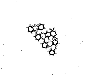 CC1(C)CCC(C)(C)c2c1cc1c3c2Oc2c(cccc2N2c4ccccc4Oc4ccccc42)B3c2cccc(N3c4ccccc4Oc4ccccc43)c2O1